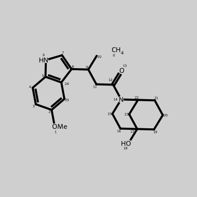 C.COc1ccc2[nH]cc(C(C)CC(=O)N3CCC4(O)CCCC3C4)c2c1